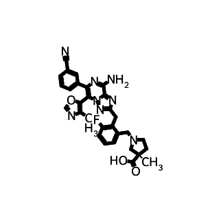 Cc1ncoc1-c1c(-c2cccc(C#N)c2)nc(N)c2nc(Cc3c(F)cccc3CN3CC[C@@](C)(C(=O)O)C3)nn12